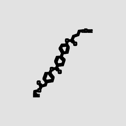 CCCCCCCCCCCCCC(=O)Oc1ccc(-c2ccc(C(=O)Oc3ccc(CC(=O)OC[C@@H](C)CC)cc3)cc2)cc1